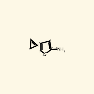 C1=CC1.Nc1cccs1